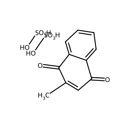 CC1=CC(=O)c2ccccc2C1=O.O=S(=O)(O)O.O=S(=O)(O)O